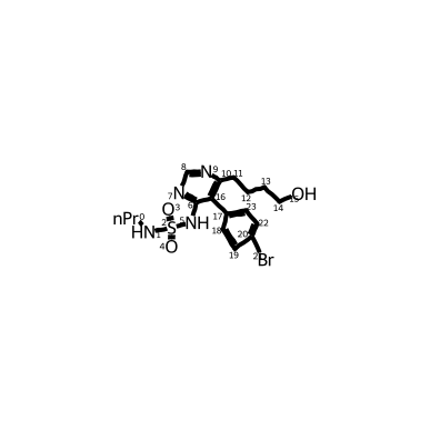 CCCNS(=O)(=O)Nc1ncnc(CCCCO)c1-c1ccc(Br)cc1